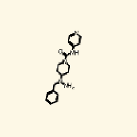 NN(Cc1ccccc1)C1CCN(C(=O)Nc2ccncc2)CC1